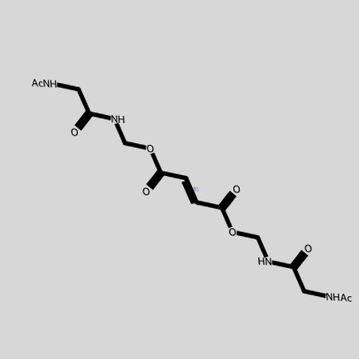 CC(=O)NCC(=O)NCOC(=O)/C=C/C(=O)OCNC(=O)CNC(C)=O